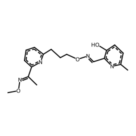 CO/N=C(\C)c1cccc(CCCO/N=C/c2nc(C)ccc2O)n1